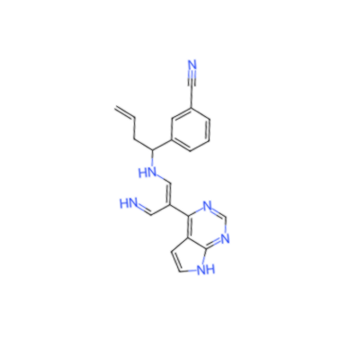 C=CCC(N/C=C(\C=N)c1ncnc2[nH]ccc12)c1cccc(C#N)c1